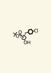 CC(C)(C)OC(=O)N1C[C@@H](O)C[C@@H]1Cc1ccc(Cl)cc1